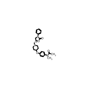 CC(=O)N(C)c1ccc(OC2CCN(C[C@@H]3CN(c4ccccc4)C(=O)O3)CC2)cc1